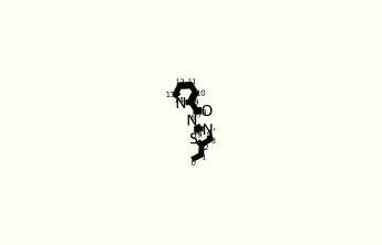 CCC1C[N]C(=NC(=O)c2ccccn2)S1